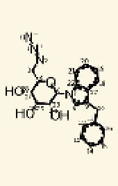 [N-]=[N+]=NC[C@H]1O[C@@H](n2cc(Cc3ccccc3)c3ccccc32)[C@H](O)[C@@H](O)[C@@H]1O